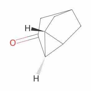 O=C1CC2CC3[C@@H](C2)[C@H]13